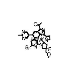 COC[C@]1(F)CN(c2cccc(Br)n2)[C@](C(N)=O)(N2CC=C2n2nc(C(C)=O)c3cc(-c4cnc(C)nc4)ccc32)C1